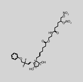 O=C(CCCC(CO[N+](=O)[O-])O[N+](=O)[O-])NCCOC(=O)CCCC=CC[C@@H]1[C@@H](C=CC(F)(F)COc2ccccc2)[C@H](O)C[C@@H]1O